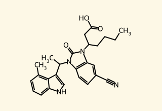 CCCCC(CC(=O)O)n1c(=O)n(C(C)c2c[nH]c3cccc(C)c23)c2ccc(C#N)cc21